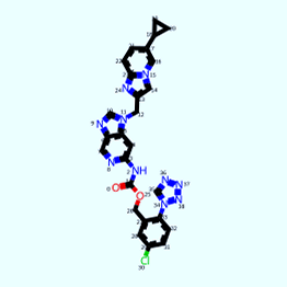 O=C(Nc1cc2c(cn1)ncn2Cc1cn2cc(C3CC3)ccc2n1)OCc1cc(Cl)ccc1-n1cnnn1